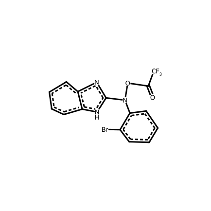 O=C(ON(c1nc2ccccc2[nH]1)c1ccccc1Br)C(F)(F)F